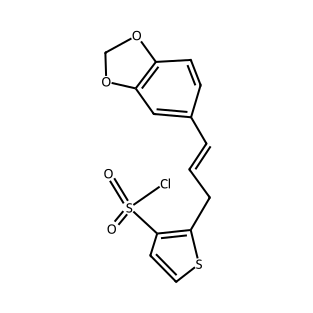 O=S(=O)(Cl)c1ccsc1CC=Cc1ccc2c(c1)OCO2